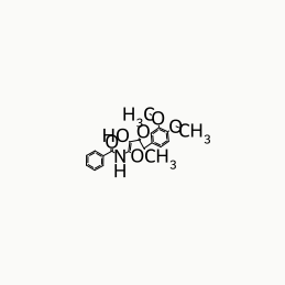 COc1ccc(C2(C)OC(NC(=O)c3ccccc3)=C(O)C2=O)cc1OC